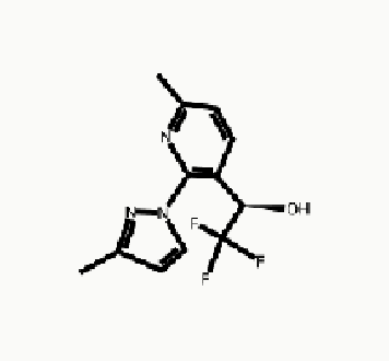 Cc1ccc([C@@H](O)C(F)(F)F)c(-n2ccc(C)n2)n1